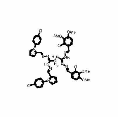 COc1ccc(C=NN=C(N)NN=Cc2ccc(OC)c(OC)c2Cl)c(Cl)c1OC.NC(=NN=Cc1cccn1-c1ccc(Cl)cc1)NN=Cc1cccn1-c1ccc(Cl)cc1